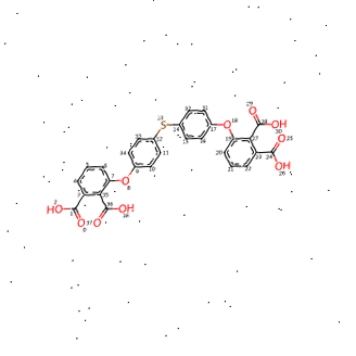 O=C(O)c1cccc(Oc2ccc(Sc3ccc(Oc4cccc(C(=O)O)c4C(=O)O)cc3)cc2)c1C(=O)O